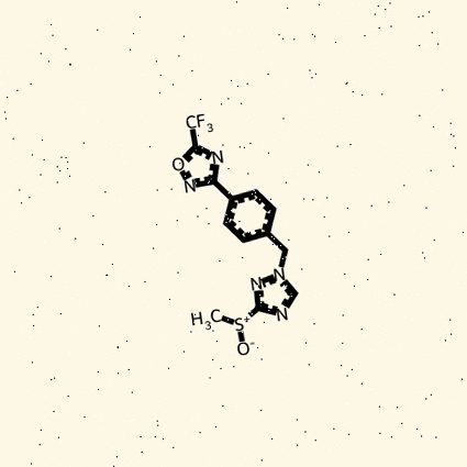 C[S+]([O-])c1ncn(Cc2ccc(-c3noc(C(F)(F)F)n3)cc2)n1